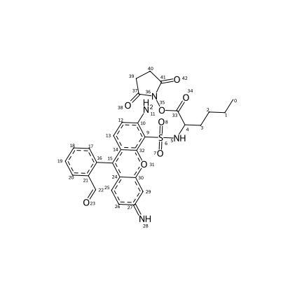 CCCCC(NS(=O)(=O)c1c(N)ccc2c(-c3ccccc3C=O)c3ccc(=N)cc-3oc12)C(=O)ON1C(=O)CCC1=O